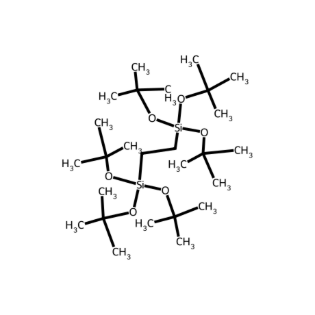 CC(C)(C)O[Si](CC[Si](OC(C)(C)C)(OC(C)(C)C)OC(C)(C)C)(OC(C)(C)C)OC(C)(C)C